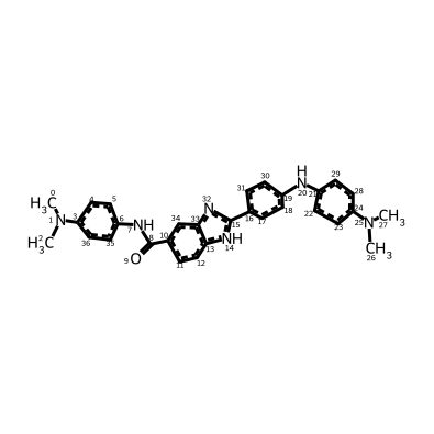 CN(C)c1ccc(NC(=O)c2ccc3[nH]c(-c4ccc(Nc5ccc(N(C)C)cc5)cc4)nc3c2)cc1